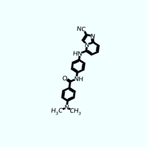 CN(C)c1ccc(C(=O)Nc2ccc(Nc3cccc4nc(C#N)cn34)cc2)cc1